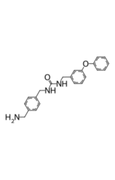 NCc1ccc(CNC(=O)NCc2cccc(Oc3ccccc3)c2)cc1